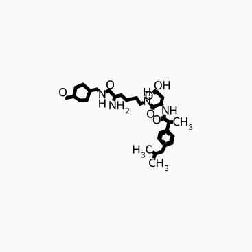 CC(C)Cc1ccc(C(C)C(=O)NC(CC(=O)O)C(=O)NCCCCC(N)C(=O)NCC2CCC(C=O)CC2)cc1